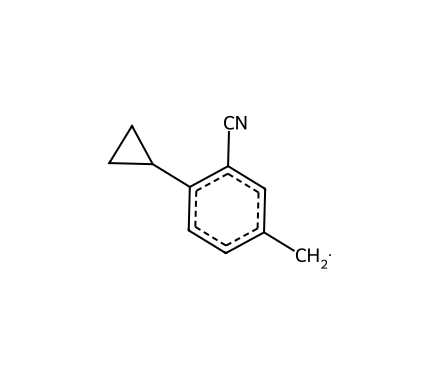 [CH2]c1ccc(C2CC2)c(C#N)c1